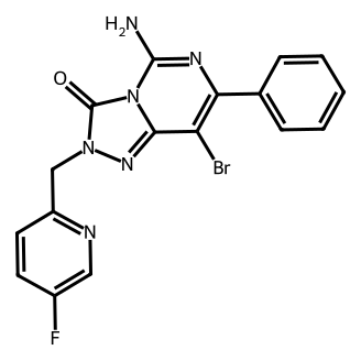 Nc1nc(-c2ccccc2)c(Br)c2nn(Cc3ccc(F)cn3)c(=O)n12